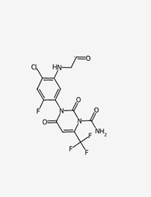 NC(=O)n1c(C(F)(F)F)cc(=O)n(-c2cc(NC[C]=O)c(Cl)cc2F)c1=O